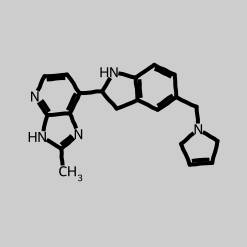 Cc1nc2c(C3Cc4cc(CN5CC=CC5)ccc4N3)ccnc2[nH]1